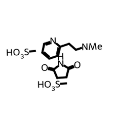 CNCCc1ccccn1.CS(=O)(=O)O.CS(=O)(=O)O.O=C1CCC(=O)N1